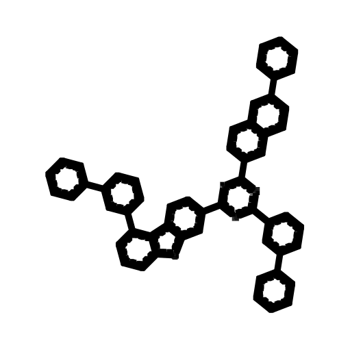 c1ccc(-c2cccc(-c3nc(-c4ccc5cc(-c6ccccc6)ccc5c4)nc(-c4ccc5c(c4)oc4cccc(-c6cccc(-c7ccccc7)c6)c45)n3)c2)cc1